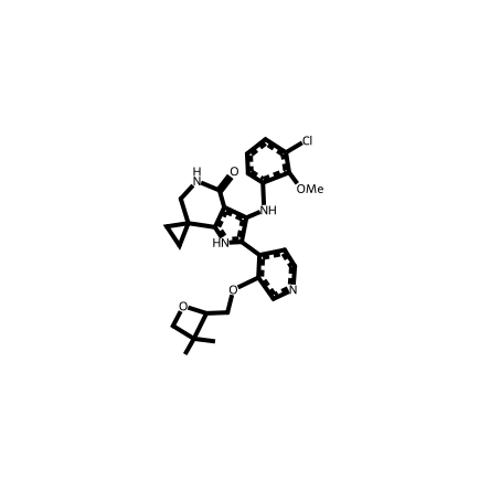 COc1c(Cl)cccc1Nc1c(-c2ccncc2OCC2OCC2(C)C)[nH]c2c1C(=O)NCC21CC1